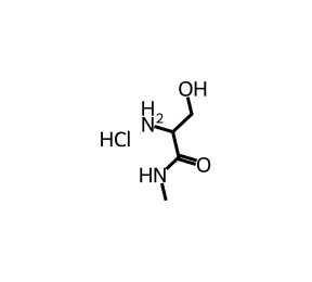 CNC(=O)C(N)CO.Cl